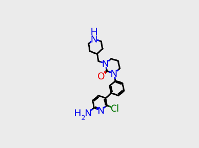 Nc1ccc(-c2cccc(N3CCCN(CC4CCNCC4)C3=O)c2)c(Cl)n1